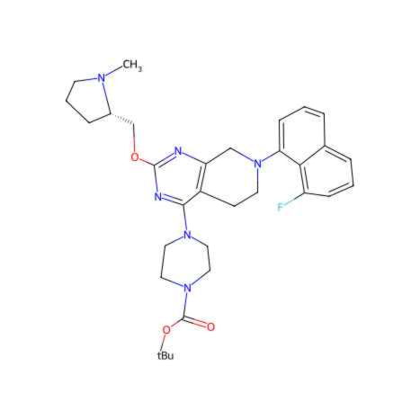 CN1CCC[C@H]1COc1nc2c(c(N3CCN(C(=O)OC(C)(C)C)CC3)n1)CCN(c1cccc3cccc(F)c13)C2